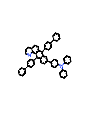 c1ccc(-c2ccc(-c3c4cc(-c5ccc(N(c6ccccc6)c6ccccc6)cc5)ccc4c(-c4ccc(-c5ccccc5)cc4)c4c3ccc3cccnc34)cc2)cc1